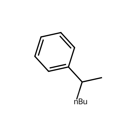 CCCCC(C)c1ccccc1